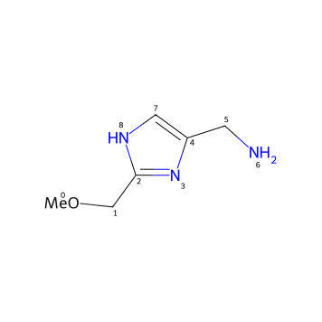 COCc1nc(CN)c[nH]1